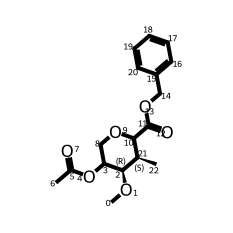 CO[C@H]1C(OC(C)=O)COC(C(=O)OCc2ccccc2)[C@H]1C